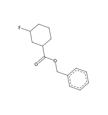 O=C(OCc1ccccc1)C1CCCC(F)C1